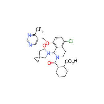 O=C(O)C1CCCCC1C(=O)N1CCc2c(Cl)ccc(OCc3cncnc3C(F)(F)F)c2C1N1CC2(CC2)CC1=O